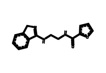 O=C(NCCNC1=NCc2ccccc21)c1ccco1